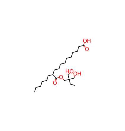 CCCCCCC(CCCCCCCCCC(=O)O)C(=O)OCC(CC)(CO)CO